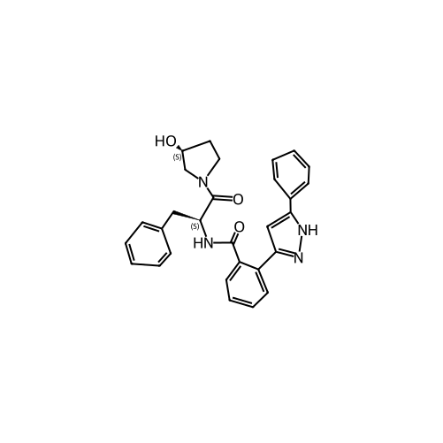 O=C(N[C@@H](Cc1ccccc1)C(=O)N1CC[C@H](O)C1)c1ccccc1-c1cc(-c2ccccc2)[nH]n1